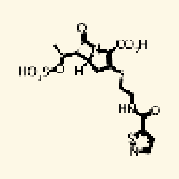 C[C@H](OS(=O)(=O)O)[C@@H]1C(=O)N2C(C(=O)O)=C(SCCNC(=O)c3ccns3)C[C@H]12